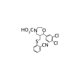 N#Cc1ccccc1SCC1CN(C(=O)O)CCOC1c1ccc(Cl)c(Cl)c1